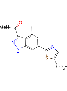 CNC(=O)c1n[nH]c2cc(-c3ncc(C(=O)O)s3)cc(C)c12